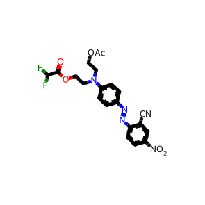 CC(=O)OCCN(CCOC(=O)C(F)F)c1ccc(/N=N/c2ccc([N+](=O)[O-])cc2C#N)cc1